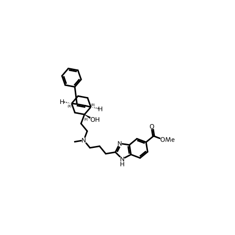 COC(=O)c1ccc2[nH]c(CCCN(C)CC[C@]3(O)C[C@H]4CC[C@@H]3C=C4c3ccccc3)nc2c1